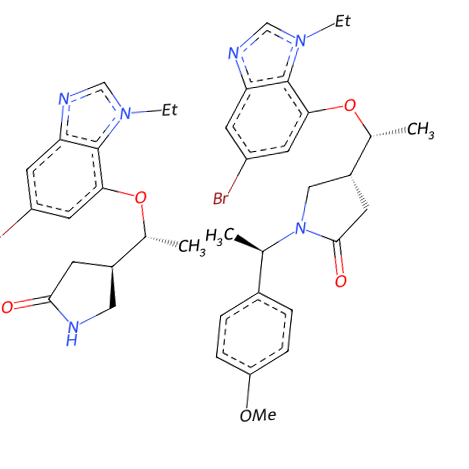 CCn1cnc2cc(Br)cc(O[C@H](C)[C@@H]3CC(=O)N([C@H](C)c4ccc(OC)cc4)C3)c21.CCn1cnc2cc(Br)cc(O[C@H](C)[C@H]3CNC(=O)C3)c21